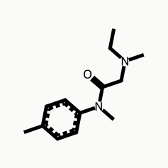 CCN(C)CC(=O)N(C)c1ccc(C)cc1